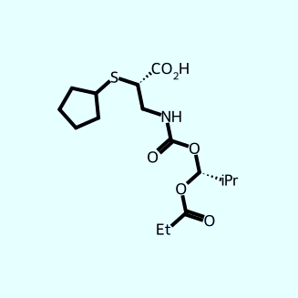 CCC(=O)O[C@H](OC(=O)NC[C@H](SC1CCCC1)C(=O)O)C(C)C